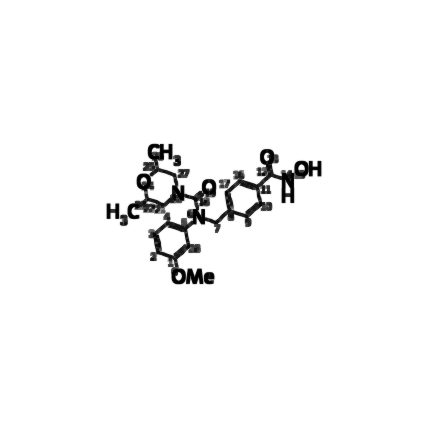 COc1cccc(N(Cc2ccc(C(=O)NO)cc2)C(=O)N2CC(C)OC(C)C2)c1